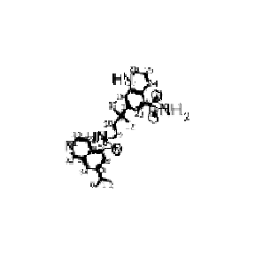 CC(C)c1cc(S(=N)(=O)CCC(C)(C)c2cc3c(c(S(N)(=O)=O)c2)CCCN3)c2ccncc2c1